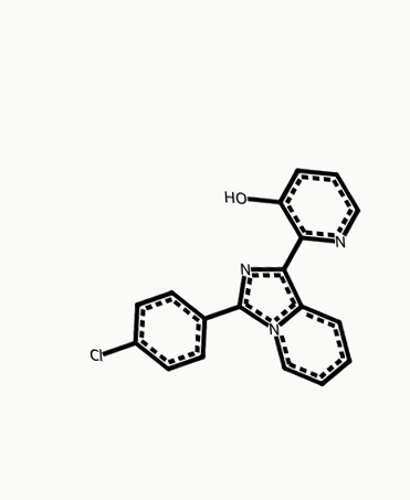 Oc1cccnc1-c1nc(-c2ccc(Cl)cc2)n2ccccc12